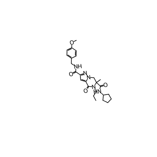 CCCN1C(=O)c2cc(C(=O)NCc3ccc(OC)cc3)nn2CC1(C)C(=O)NC1CCCC1